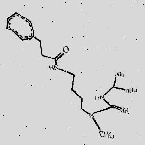 CCCCC(CCCC)NC(=N)N(C=O)CCCCNC(=O)CCc1ccccc1